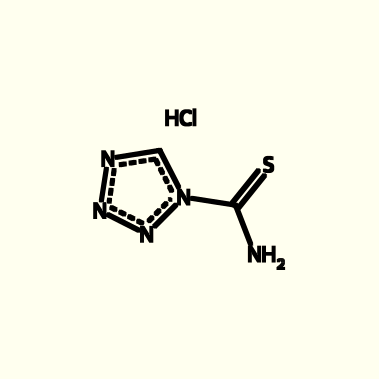 Cl.NC(=S)n1cnnn1